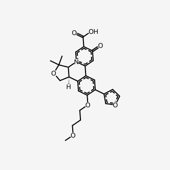 COCCCOc1cc2c(cc1-c1ccoc1)-c1cc(=O)c(C(=O)O)cn1C1[C@@H]2COC1(C)C